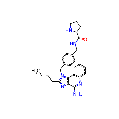 CCCCc1nc2c(N)nc3ccccc3c2n1Cc1ccc(CNC(=O)C2CCCN2)cc1